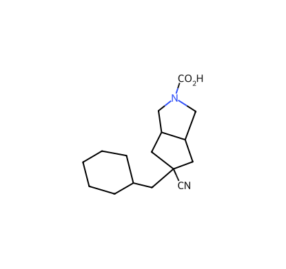 N#CC1(CC2CCCCC2)CC2CN(C(=O)O)CC2C1